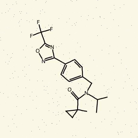 CC(C)N(Cc1ccc(-c2noc(C(F)(F)F)n2)cc1)C(=O)C1(C)CC1